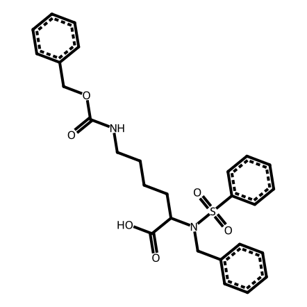 O=C(NCCCCC(C(=O)O)N(Cc1ccccc1)S(=O)(=O)c1ccccc1)OCc1ccccc1